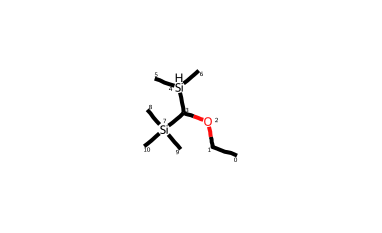 CCOC([SiH](C)C)[Si](C)(C)C